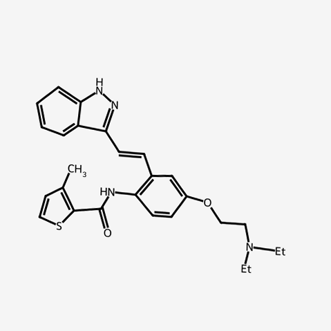 CCN(CC)CCOc1ccc(NC(=O)c2sccc2C)c(C=Cc2n[nH]c3ccccc23)c1